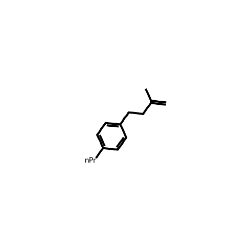 C=C(C)CCc1ccc(CCC)cc1